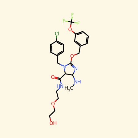 CNC1N=C(OCc2cccc(OC(F)(F)F)c2)N(Cc2ccc(Cl)cc2)C1C(=O)NCCOCCO